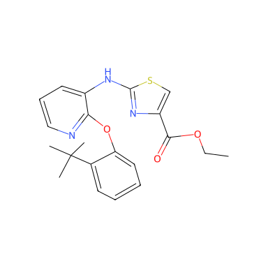 CCOC(=O)c1csc(Nc2cccnc2Oc2ccccc2C(C)(C)C)n1